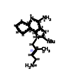 CCCCc1nc2c(N)nc3ccccc3c2n1C/C(C)=C/CN